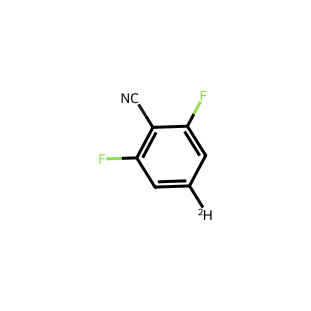 [2H]c1cc(F)c(C#N)c(F)c1